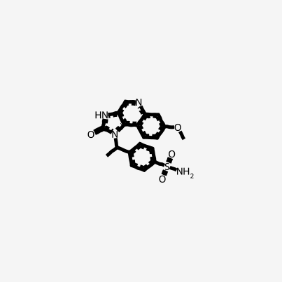 COc1ccc2c(c1)ncc1[nH]c(=O)n(C(C)c3ccc(S(N)(=O)=O)cc3)c12